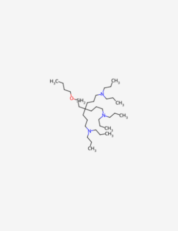 CCCCO[SiH2]CC(CCCN(CCC)CCC)(CCCN(CCC)CCC)CCCN(CCC)CCC